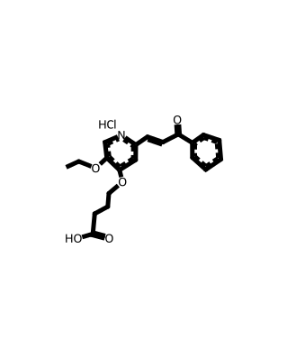 CCOc1cnc(C=CC(=O)c2ccccc2)cc1OCCCC(=O)O.Cl